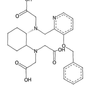 O=C(O)CN(CC(=O)O)C1CCCC[C@@H]1N(CC(=O)O)Cc1ncccc1OCc1ccccc1